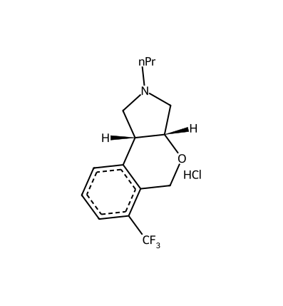 CCCN1C[C@@H]2OCc3c(cccc3C(F)(F)F)[C@@H]2C1.Cl